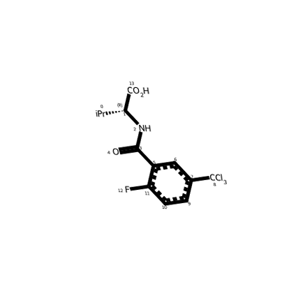 CC(C)[C@@H](NC(=O)c1cc(C(Cl)(Cl)Cl)ccc1F)C(=O)O